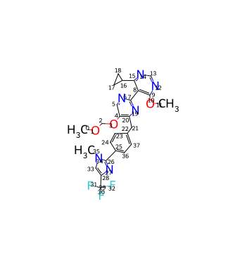 COCOc1cnc(-c2c(OC)ncnc2C2CC2)nc1Cc1ccc(-c2nc(C(F)(F)F)cn2C)cc1